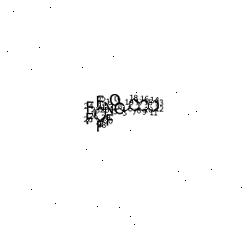 O=CN(COCC1C=c2cc3ccccc3cc2=CC1)c1c(F)c(F)c(F)c(F)c1F